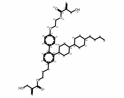 C=C(CO)C(=O)OCCCc1ccc(-c2ccc(OCCOC(=O)C(=C)CO)cc2)c(C2CCC(C3CCC(CCCC)CC3)CC2)c1